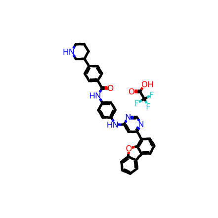 O=C(Nc1ccc(Nc2cc(-c3cccc4c3oc3ccccc34)ncn2)cc1)c1ccc(C2CCCNC2)cc1.O=C(O)C(F)(F)F